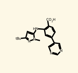 Cn1nc(C(C)(C)C)cc1Nc1cc(-c2cncnc2)ccc1C(=O)O